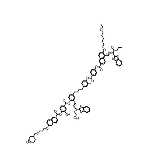 CCCC(=O)N(/N=C/c1c(OCCCCCCOCC)ccc2cc(C(=O)Oc3ccc(C(=O)Oc4ccc(CCCCc5ccc(OC(=O)c6ccc(OC(=O)c7ccc8cc(OCCCOCC9CCC%10OC%10C9)ccc8c7)c(OC)c6)c(/C=N/N(CCO)c6nc7ccccc7s6)c5)cc4C)cc3)ccc12)c1nc2ccccc2s1